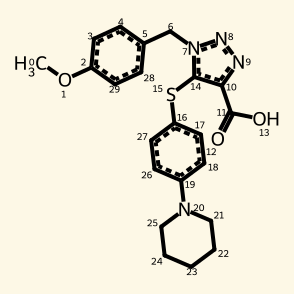 COc1ccc(Cn2nnc(C(=O)O)c2Sc2ccc(N3CCCCC3)cc2)cc1